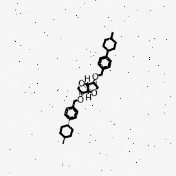 CC1CCC(c2ccc(CO[C@H]3CO[C@H]4[C@@H]3OC[C@H]4OCc3ccc([C@H]4CC[C@H](C)CC4)cc3)cc2)CC1